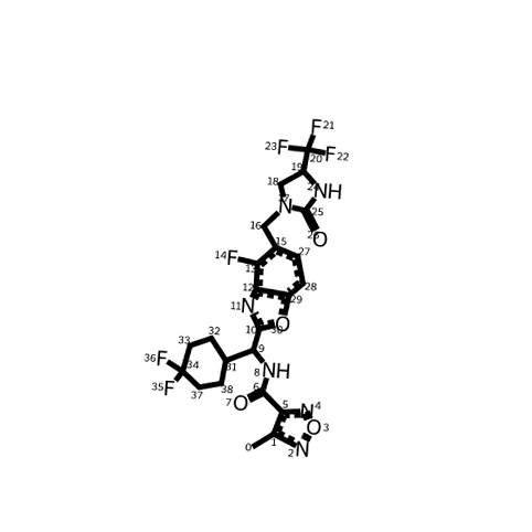 Cc1nonc1C(=O)NC(c1nc2c(F)c(CN3CC(C(F)(F)F)NC3=O)ccc2o1)C1CCC(F)(F)CC1